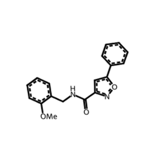 COc1ccccc1CNC(=O)c1cc(-c2ccccc2)on1